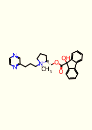 C[N+]1(CCCc2cnccn2)CCC[C@@H]1COC(=O)C1(O)c2ccccc2-c2ccccc21